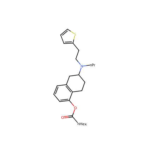 CCCCCCC(=O)Oc1cccc2c1CCC(N(CCC)CCc1cccs1)C2